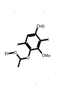 CCOC(C)Oc1c(I)cc(C=O)c(I)c1OC